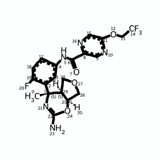 C[C@]1(c2cc(NC(=O)c3cnc(OCC(F)(F)F)cn3)ccc2F)N=C(N)O[C@@H]2COC[C@@H]21